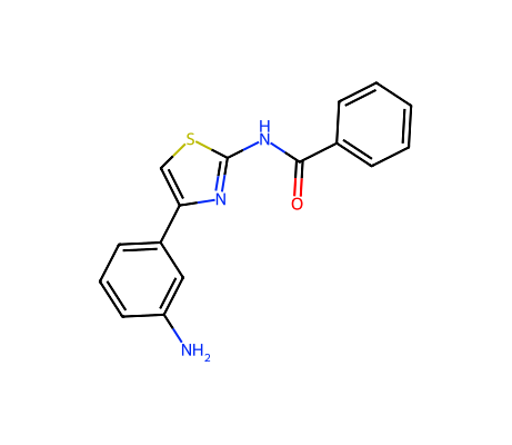 Nc1cccc(-c2csc(NC(=O)c3ccccc3)n2)c1